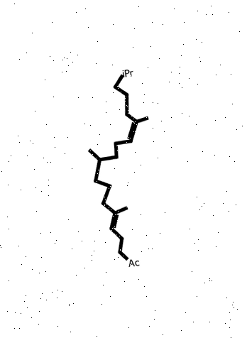 CC(=O)CC/C=C(\C)CCCC(C)CC/C=C(/C)CCCC(C)C